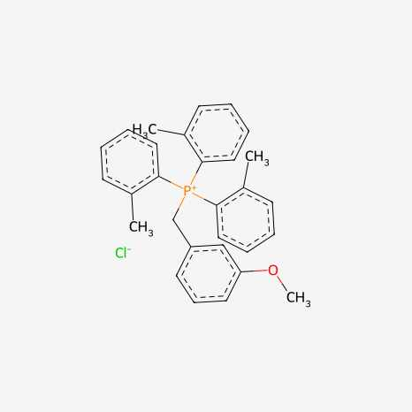 COc1cccc(C[P+](c2ccccc2C)(c2ccccc2C)c2ccccc2C)c1.[Cl-]